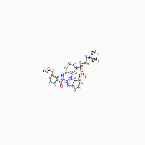 COc1cccc(C(=O)Nc2nc3cccc(C)c3n2C2CCCCN(C(=O)C=CCN(C)C)C2)c1